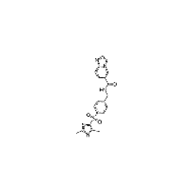 Cc1nc(C)c(S(=O)(=O)c2ccc(CNC(=O)c3ccc4nccn4c3)cc2)s1